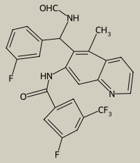 Cc1c(C(NC=O)c2cccc(F)c2)c(NC(=O)c2cc(F)cc(C(F)(F)F)c2)cc2ncccc12